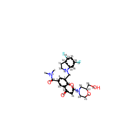 CN(C)C(=O)c1cc(CN2CCc3c(F)cc(F)cc32)c2oc(N3CCO[C@H](CO)C3)cc(=O)c2c1